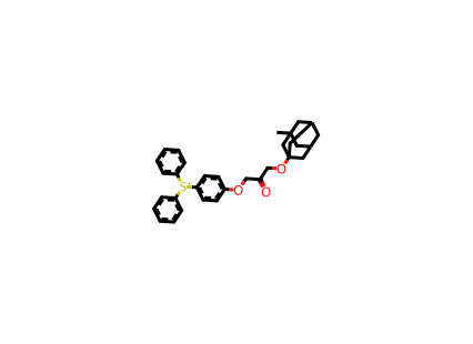 CC12CC3CC(C1)CC(OCC(=O)COc1ccc([S+](c4ccccc4)c4ccccc4)cc1)(C3)C2